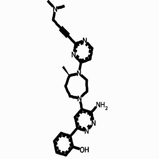 C[C@@H]1CCN(c2cc(-c3ccccc3O)nnc2N)CCN1c1ccnc(C#CCN(C)C)n1